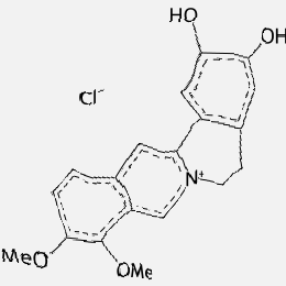 COc1ccc2cc3[n+](cc2c1OC)CCc1cc(O)c(O)cc1-3.[Cl-]